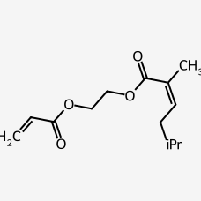 C=CC(=O)OCCOC(=O)C(C)=CCC(C)C